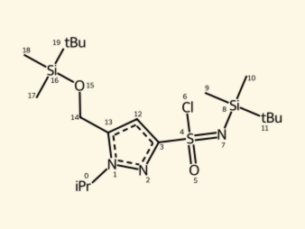 CC(C)n1nc(S(=O)(Cl)=N[Si](C)(C)C(C)(C)C)cc1CO[Si](C)(C)C(C)(C)C